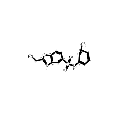 O=S(=O)(Nc1cccc(C(F)(F)F)c1)c1ccc2sc(CO)nc2c1